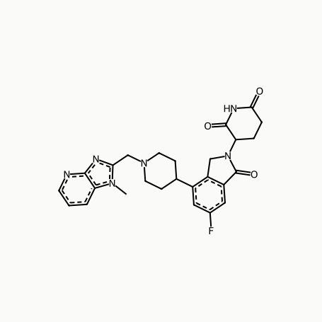 Cn1c(CN2CCC(c3cc(F)cc4c3CN(C3CCC(=O)NC3=O)C4=O)CC2)nc2ncccc21